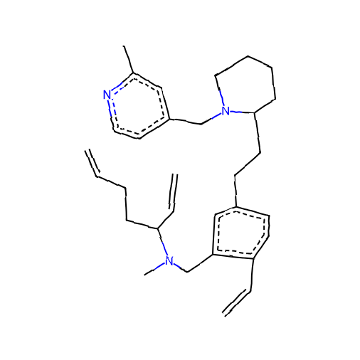 C=CCCC(C=C)N(C)Cc1cc(CCC2CCCCN2Cc2ccnc(C)c2)ccc1C=C